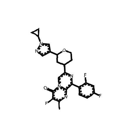 Cc1nc2c(-c3ccc(F)cc3F)nc(C3CCOC(c4cnn(C5CC5)c4)C3)cn2c(=O)c1F